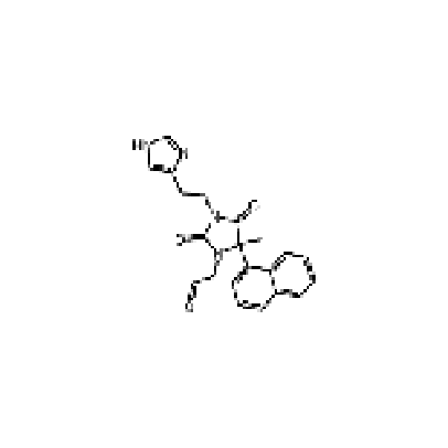 CC1(c2cccc3ccccc23)C(=O)N(CCc2c[nH]cn2)C(=O)N1CC=O